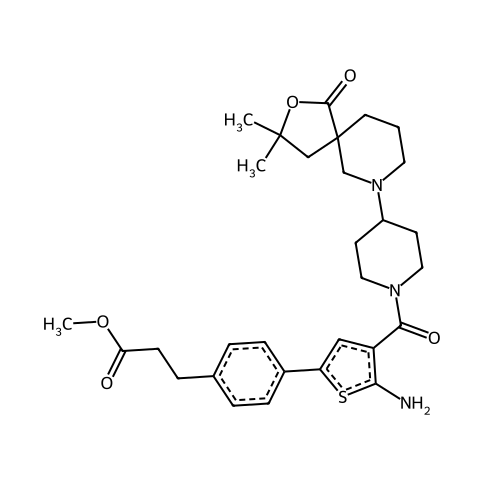 COC(=O)CCc1ccc(-c2cc(C(=O)N3CCC(N4CCCC5(C4)CC(C)(C)OC5=O)CC3)c(N)s2)cc1